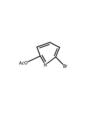 CC(=O)Oc1cccc(Br)n1